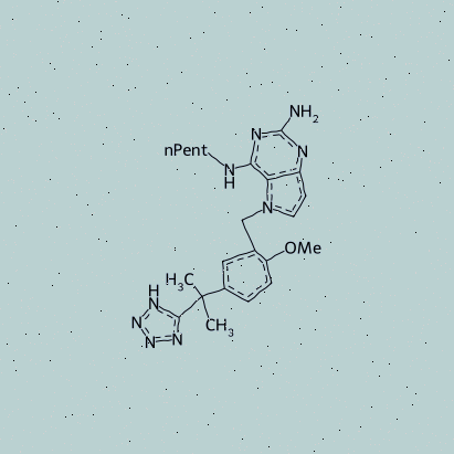 CCCCCNc1nc(N)nc2ccn(Cc3cc(C(C)(C)c4nnn[nH]4)ccc3OC)c12